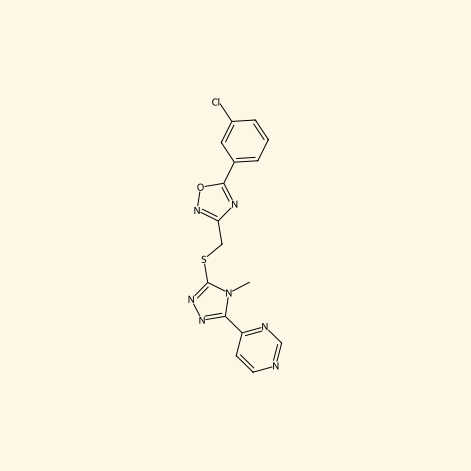 Cn1c(SCc2noc(-c3cccc(Cl)c3)n2)nnc1-c1ccncn1